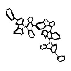 c1ccc(-c2ccc3c(c2)c2ccccc2n3-c2c3ccccc3c(-c3ccc4c(c3)oc3cccc(-c5c6ccccc6c(-n6c7ccccc7c7cc(-c8ccccc8)ccc76)c6ccccc56)c34)c3ccccc23)cc1